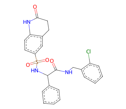 O=C1CCc2cc(S(=O)(=O)NC(C(=O)NCc3ccccc3Cl)c3ccccc3)ccc2N1